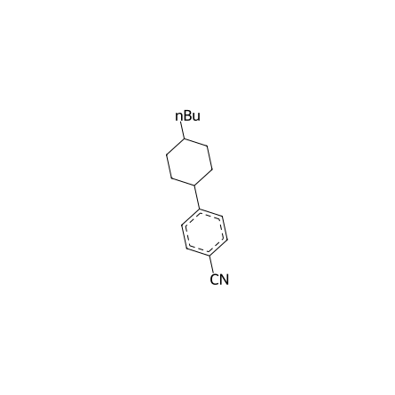 CCCCC1CCC(c2ccc(C#N)cc2)CC1